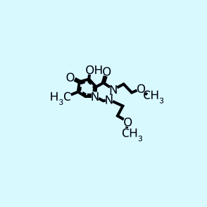 COCCN1Cn2cc(C)c(=O)c(O)c2C(=O)N1CCOC